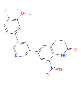 COc1cc(-c2cncc(-c3cc4c(c([N+](=O)[O-])c3)NC(=O)CC4)c2)ccc1F